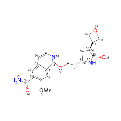 COc1cc2c(OCC[C@@H]3C[C@@H](C4COC4)C(=O)N3)nccc2cc1C(N)=O